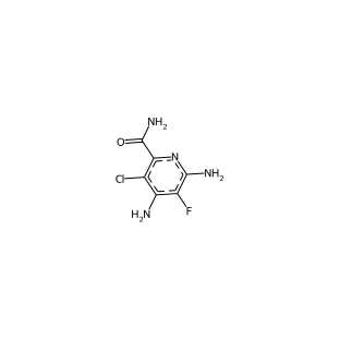 NC(=O)c1nc(N)c(F)c(N)c1Cl